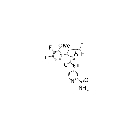 COc1c(C2C(C)C(C)(C(F)F)O[C@@H]2C(=O)Nc2ccnc(C(N)=O)c2)ccc(F)c1F